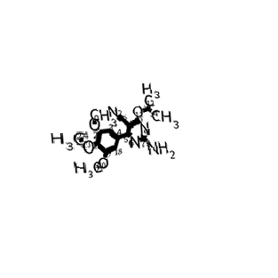 COc1cc(-c2nc(N)nc(OC(C)C)c2C#N)cc(OC)c1OC